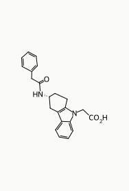 O=C(O)Cn1c2c(c3ccccc31)C[C@H](NC(=O)Cc1ccccc1)CC2